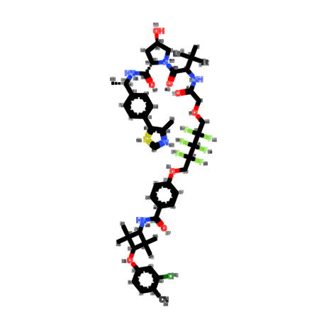 CCC(C)(CC)C(NC(=O)COCC(F)(F)C(F)(F)C(F)(F)COc1ccc(C(=O)NC2C(C)(C)C(Oc3ccc(C#N)c(Cl)c3)C2(C)C)cc1)C(=O)N1C[C@H](O)C[C@H]1C(=O)N[C@@H](C)c1ccc(-c2scnc2C)cc1